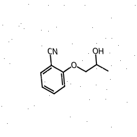 CC(O)COc1ccccc1C#N